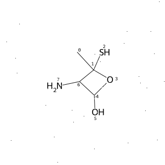 CC1(S)OC(O)C1N